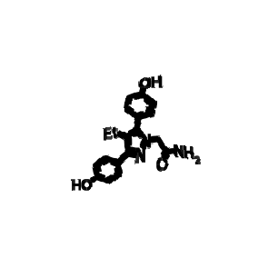 CCc1c(-c2ccc(O)cc2)nn(CC(N)=O)c1-c1ccc(O)cc1